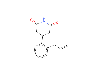 C=CCc1ccccc1C1CC(=O)NC(=O)C1